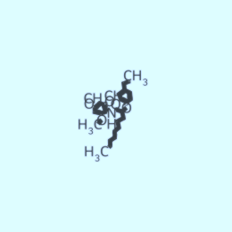 CCCCCCCCC(Oc1ccc(CCC)cc1)C(=O)Nc1c(OC)cc(OC)cc1OC